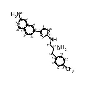 Nc1cc2cc(-c3cnc(NC[C@H](N)Cc4ccc(C(F)(F)F)cc4)s3)ccc2cn1